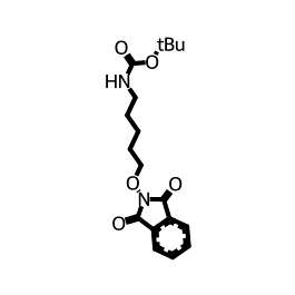 CC(C)(C)OC(=O)NCCCCCON1C(=O)c2ccccc2C1=O